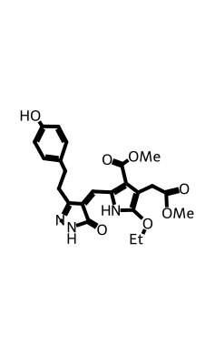 CCOc1[nH]c(C=C2C(=O)NN=C2CCc2ccc(O)cc2)c(C(=O)OC)c1CC(=O)OC